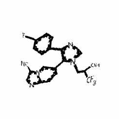 N#Cc1cnc2ccc(-c3c(-c4ccc(F)cc4)ncn3CC(O)C(F)(F)F)cn12